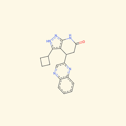 O=C1CC(c2cnc3ccccc3n2)c2c(n[nH]c2C2CCC2)N1